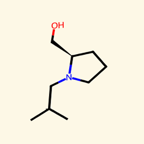 C[C](C)CN1CCC[C@@H]1CO